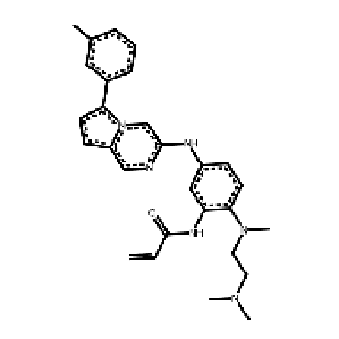 C=CC(=O)Nc1cc(Nc2cn3c(-c4cccc(F)c4)ccc3cn2)ccc1N(C)CCN(C)C